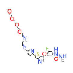 COCCOCCOCCOCCN(C)C1CCN(Cc2ccc(-c3cc4nccc(Oc5ccc(NC(=O)NC6CC6)cc5F)c4s3)nc2)CC1